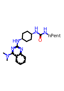 CCCCCNC(=O)N[C@H]1CC[C@@H](Nc2nc(N(C)C)c3ccccc3n2)CC1